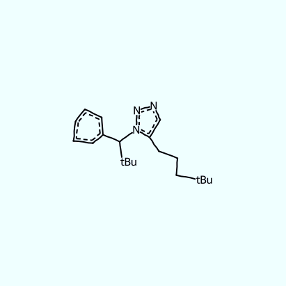 CC(C)(C)CCCc1cnnn1C(c1ccccc1)C(C)(C)C